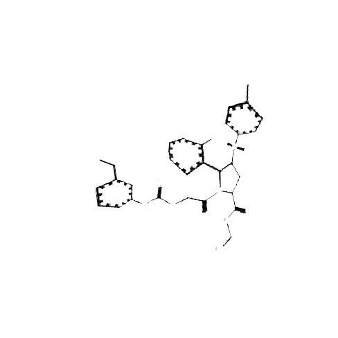 CC(C)CNC(=O)C1CC(S(=O)(=O)c2ccc(Cl)cc2)C(c2ccccc2F)N1C(=O)CNC(=O)Nc1cccc(CC(=O)O)c1